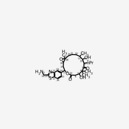 CCCC1C(=O)C(C)(C)C(O)CC(=O)OC(c2ccc3sc(CN)nc3c2)CC2OC2(C)CCCC(C)C1O